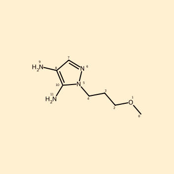 COCCCn1ncc(N)c1N